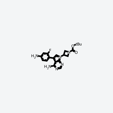 CC(C)(C)OC(=O)N1CC(n2cc(-c3ccc(N)cc3F)c3c(N)ncnc32)C1